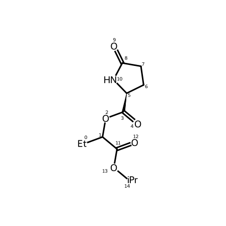 CCC(OC(=O)[C@@H]1CCC(=O)N1)C(=O)OC(C)C